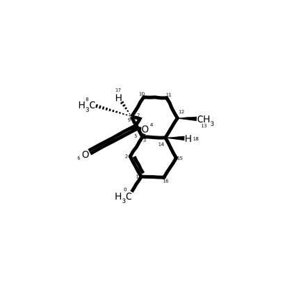 CC1=C[C@]23OC(=O)[C@@H](C)[C@@H]2CC[C@@H](C)[C@@H]3CC1